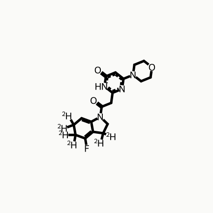 [2H]C1([2H])CN(C(=O)Cc2nc(N3CCOCC3)cc(=O)[nH]2)C2=CC([2H])([2H])C([2H])([2H])C(F)=C21